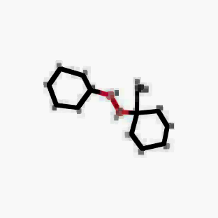 CC(C)(C)C1(OOC2CCCCC2)CCCCC1